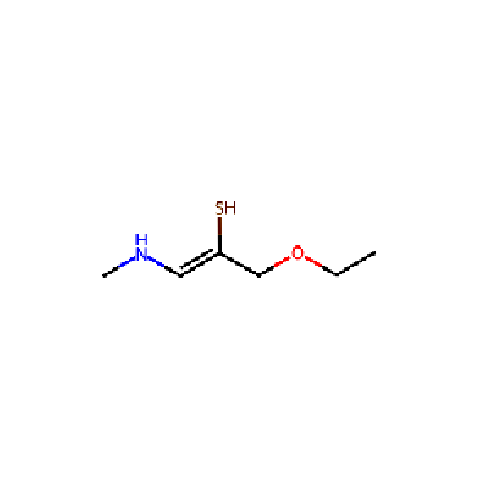 CCOC/C(S)=C/NC